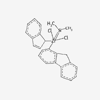 C[Si](C)=[Zr]([Cl])([Cl])([c]1cccc2c1Cc1ccccc1-2)[CH]1C=Cc2ccccc21